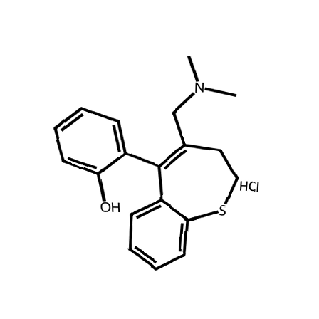 CN(C)CC1=C(c2ccccc2O)c2ccccc2SCC1.Cl